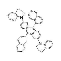 C1=CC2=CC=C(c3c4cc(N5CCCc6ccccc65)ccc4c(-c4cccc5ccccc45)c4cc(N5CCCc6ccccc65)ccc34)CC2C=C1